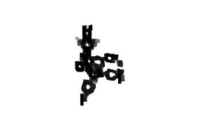 C[C@@H]1CN(c2nc(=O)n3c4c(cc(C(F)(F)F)cc24)[SH](C2=CCC(F)(F)CC2)C[C@H](c2ccc(F)cc2)C3)C[C@H](C)N1